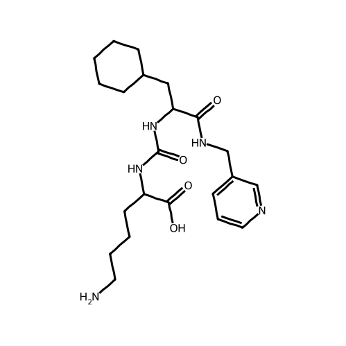 NCCCCC(NC(=O)NC(CC1CCCCC1)C(=O)NCc1cccnc1)C(=O)O